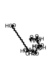 CC(C)C(=O)CC[C@H](NC(=O)CCC(NC(=O)CCC(NC(=O)CC[C@@H](NC(=O)CCCCCCCCCCCCCCCCCCC(=O)O)C(=O)O)C(=O)O)C(=O)O)C(=O)O